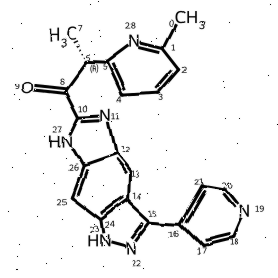 Cc1cccc([C@@H](C)C(=O)c2nc3cc4c(-c5ccncc5)n[nH]c4cc3[nH]2)n1